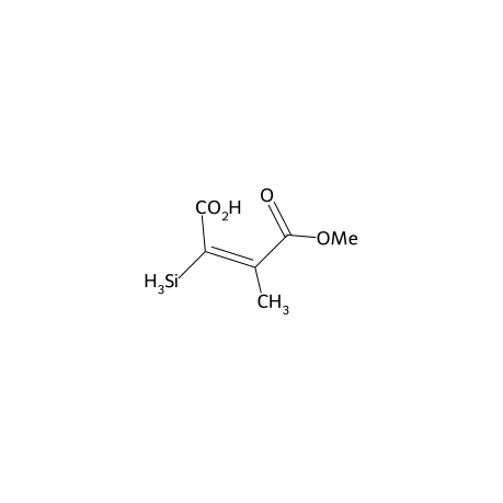 COC(=O)/C(C)=C(/[SiH3])C(=O)O